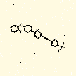 Fc1ccccc1OC1CCN(c2ccc(C#Cc3ccc(C(F)(F)F)cc3)nn2)CC1